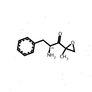 CC1(C(=O)[C@@H](N)Cc2ccccc2)CO1